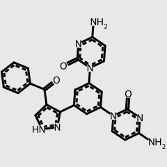 Nc1ccn(-c2cc(-c3n[nH]cc3C(=O)c3ccccc3)cc(-n3ccc(N)nc3=O)c2)c(=O)n1